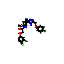 CC1(NC(=O)COc2ccc(Cl)c(F)c2)CC(C)(c2nnc(COc3ccc(Cl)cc3)[nH]2)C1